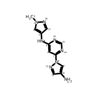 Cn1cc(Nc2cc(-n3cc(N)cn3)ncn2)cn1